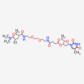 CCC(CC(C)C(=O)NCCOCCOCCNC(=O)CCC(=O)OC1CC(n2cc(C)c(=O)[nH]c2=O)OC1C)C(=O)N(C)C